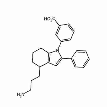 NCCCC1CCCc2c1cc(-c1ccccc1)n2-c1cccc(C(=O)O)c1